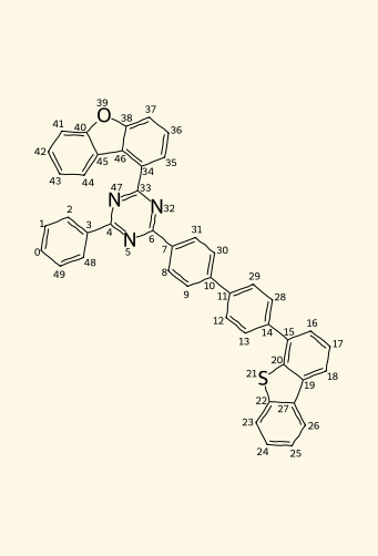 c1ccc(-c2nc(-c3ccc(-c4ccc(-c5cccc6c5sc5ccccc56)cc4)cc3)nc(-c3cccc4oc5ccccc5c34)n2)cc1